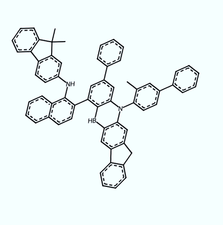 Cc1cc(-c2ccccc2)ccc1N1c2cc3c(cc2Bc2c(-c4ccc5ccccc5c4Nc4ccc5c(c4)C(C)(C)c4ccccc4-5)cc(-c4ccccc4)cc21)-c1ccccc1C3